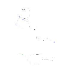 COc1ccc(Cl)cc1-c1c(NC(=O)c2cnn3cccnc23)cnn1C